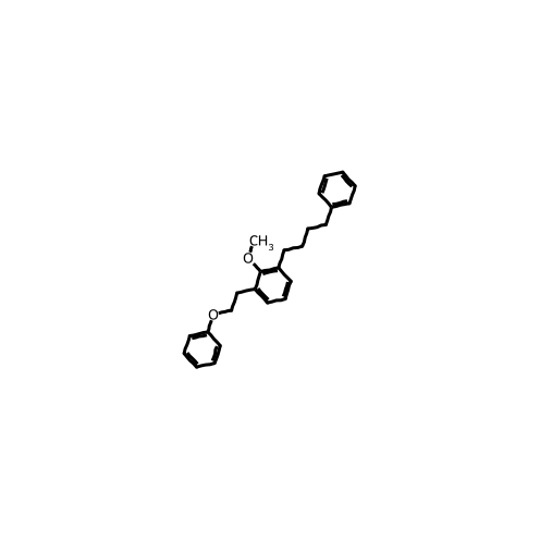 COc1c(CCCCc2ccccc2)cccc1CCOc1ccccc1